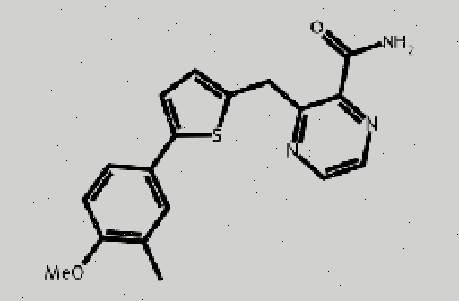 COc1ccc(-c2ccc(Cc3nccnc3C(N)=O)s2)cc1C